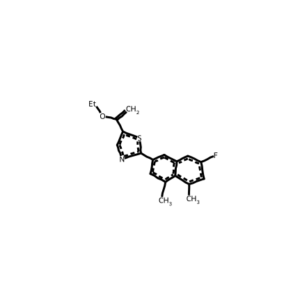 C=C(OCC)c1cnc(-c2cc(C)c3c(C)cc(F)cc3c2)s1